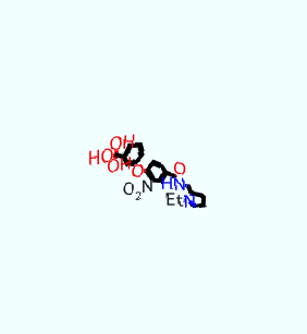 CCN1CCCC1CNC(=O)c1ccc(Oc2cccc(C(O)(O)O)c2)c([N+](=O)[O-])c1